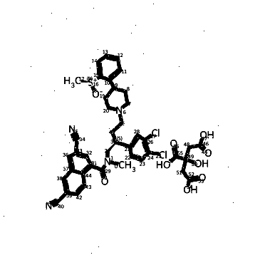 CN(C[C@@H](CCN1CCC(c2ccccc2[S@+](C)[O-])CC1)c1ccc(Cl)c(Cl)c1)C(=O)c1cc(C#N)cc2cc(C#N)ccc12.O=C(O)CC(O)(CC(=O)O)C(=O)O